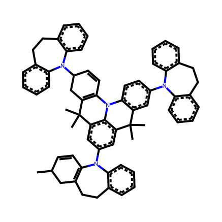 CC1C=CC2=C(CCc3ccccc3N2c2cc3c4c(c2)C(C)(C)c2cc(N5c6ccccc6CCc6ccccc65)ccc2N4C2=C(CC(N4c5ccccc5CCc5ccccc54)C=C2)C3(C)C)C1